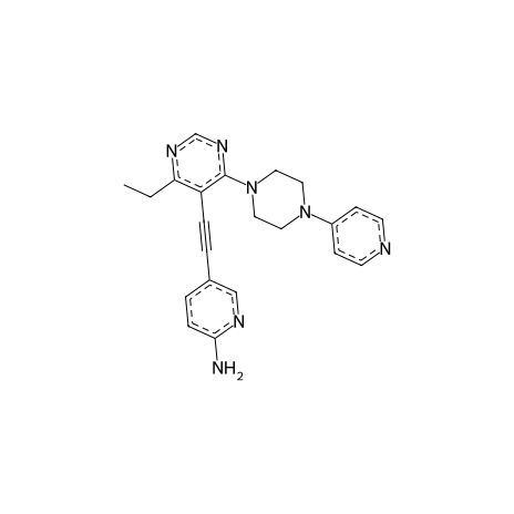 CCc1ncnc(N2CCN(c3ccncc3)CC2)c1C#Cc1ccc(N)nc1